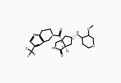 COC1COCCC1N[C@@H]1C[C@H]2C(=O)NC[C@@]2(C(=O)N2CCc3ncc(C(F)(F)F)cc3C2)C1